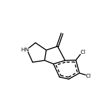 C=C1c2c(ccc(Cl)c2Cl)C2CNCC12